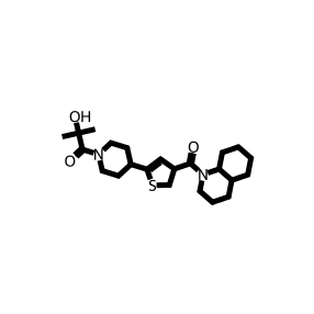 CC(C)(O)C(=O)N1CCC(C2=CC(C(=O)N3CCCC4CCCCC43)CS2)CC1